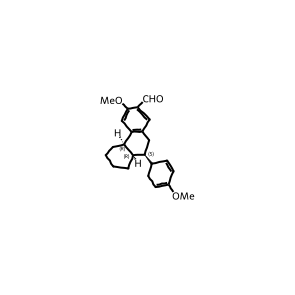 COC1=CCC([C@@H]2Cc3cc(C=O)c(OC)cc3[C@@H]3CCCC[C@@H]32)C=C1